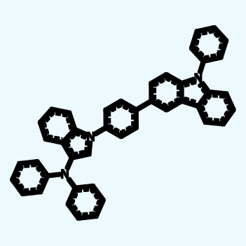 c1ccc(N(c2ccccc2)c2cn(-c3ccc(-c4ccc5c(c4)c4ccccc4n5-c4ccccc4)cc3)c3ccccc23)cc1